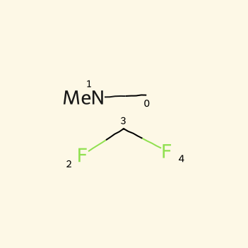 CNC.FCF